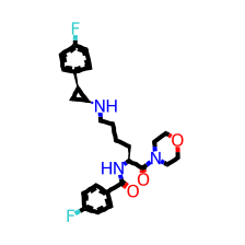 O=C(N[C@@H](CCCCN[C@@H]1C[C@H]1c1ccc(F)cc1)C(=O)N1CCOCC1)c1ccc(F)cc1